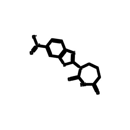 O=C1CCCN(c2nc3ccc([N+](=O)[O-])cc3s2)C(=O)N1